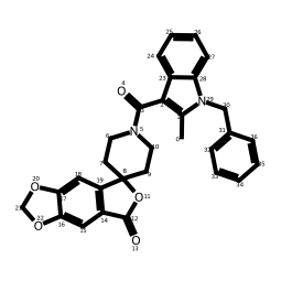 Cc1c(C(=O)N2CCC3(CC2)OC(=O)c2cc4c(cc23)OCO4)c2ccccc2n1Cc1ccccc1